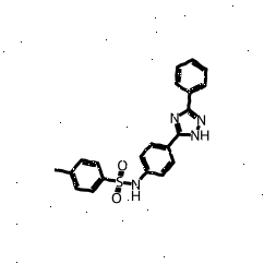 Cc1ccc(S(=O)(=O)Nc2ccc(-c3nc(-c4ccccc4)n[nH]3)cc2)cc1